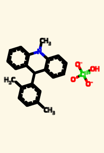 Cc1ccc(C)c(C2c3ccccc3N(C)c3ccccc32)c1.[O-][Cl+3]([O-])([O-])O